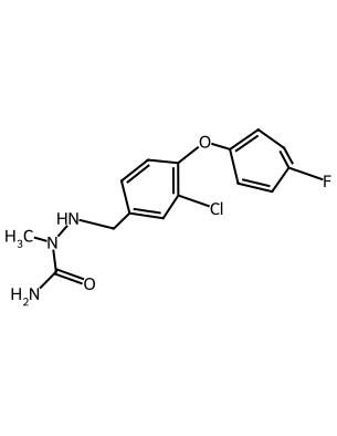 CN(NCc1ccc(Oc2ccc(F)cc2)c(Cl)c1)C(N)=O